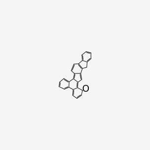 O=C1C=CC=c2c1c1c(c3ccccc23)=c2ccc3c(c2=C1)Cc1ccccc1-3